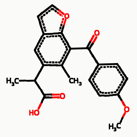 COc1ccc(C(=O)c2c(C)c(C(C)C(=O)O)cc3ccoc23)cc1